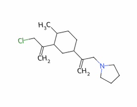 C=C(CN1CCCC1)C1CCC(C)C(C(=C)CCl)C1